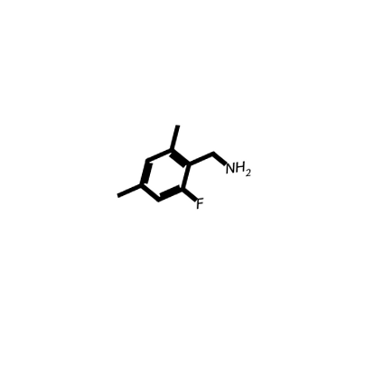 Cc1cc(C)c(CN)c(F)c1